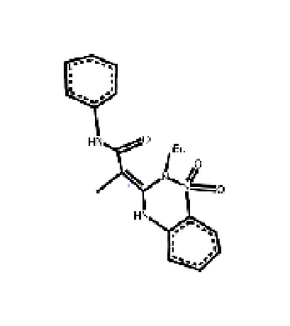 CCCCN1/C(=C(/C)C(=O)Nc2ccccc2)Nc2ccccc2S1(=O)=O